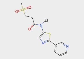 CCN(C(=O)CCS(C)(=O)=O)c1cnc(-c2cccnc2)s1